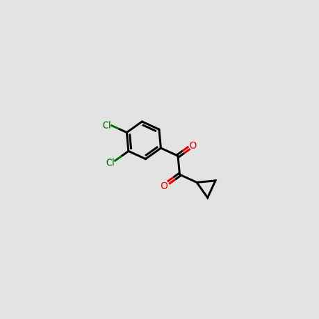 O=C(C(=O)C1CC1)c1ccc(Cl)c(Cl)c1